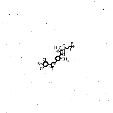 Cc1cc(/C=C/C(c2cc(Cl)c(Br)c(Cl)c2)C(F)(F)F)ccc1C(=O)N[C@H](C)NC(=O)CCC(F)(F)F